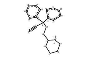 N#CC(CCC1CCCCN1)(c1ccccc1)c1ccccc1